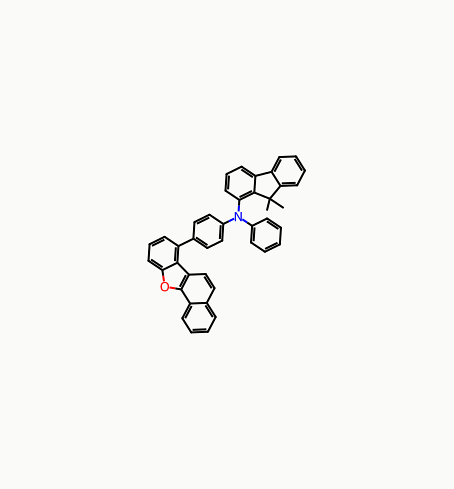 CC1(C)c2ccccc2-c2cccc(N(c3ccccc3)c3ccc(-c4cccc5oc6c7ccccc7ccc6c45)cc3)c21